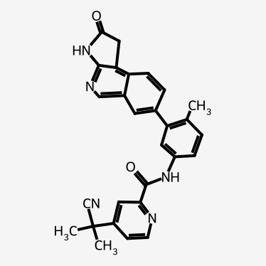 Cc1ccc(NC(=O)c2cc(C(C)(C)C#N)ccn2)cc1-c1ccc2c3c(ncc2c1)NC(=O)C3